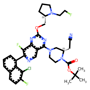 CC(C)(C)OC(=O)N1CCN(c2nc(OC[C@@H]3CCCN3CCF)nc3c(F)c(-c4cccc5ccc(F)c(Cl)c45)ncc23)C[C@@H]1CC#N